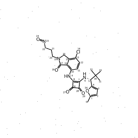 Cc1ccc([C@H](Nc2c(Nc3ccc(Cl)c4c3C(=O)N(CCCN=O)C4)c(=O)c2=O)C(C)(C)C)o1